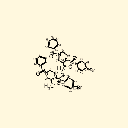 CC1CN(C(=O)c2ccccc2)CCN1S(=O)(=O)c1ccc(Br)cc1.CC1CN(C(=O)c2ccccc2)CCN1S(=O)(=O)c1ccc(Br)cc1